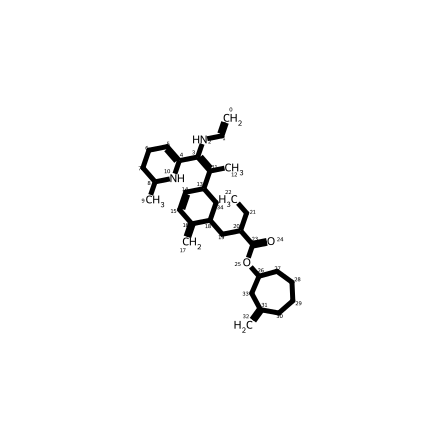 C=CN/C(C1=CCCC(C)N1)=C(\C)C1C=CC(=C)C(CC(CC)C(=O)OC2CCCCC(=C)C2)C1